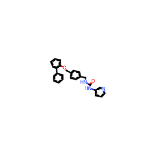 O=C(NCc1ccc(COc2ccccc2-c2ccccc2)cc1)Nc1cccnc1